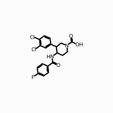 O=C(NC1CCN(C(=O)O)CC1c1ccc(Cl)c(Cl)c1)c1ccc(F)cc1